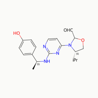 CC(C)[C@H]1COC(C=O)N1c1ccnc(N[C@@H](C)c2ccc(O)cc2)n1